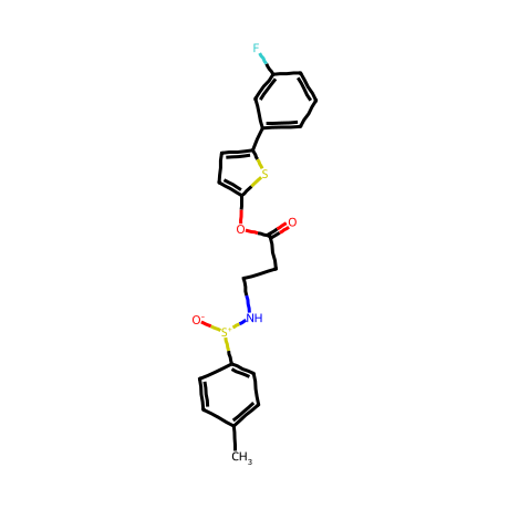 Cc1ccc([S+]([O-])NCCC(=O)Oc2ccc(-c3cccc(F)c3)s2)cc1